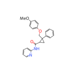 COc1ccc(OCC2(c3ccccc3)CC2C(=O)Nc2ccccn2)cc1